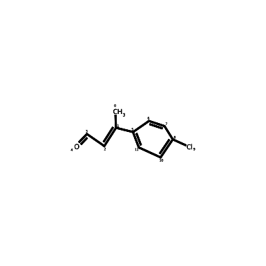 CC(=CC=O)c1ccc(Cl)cc1